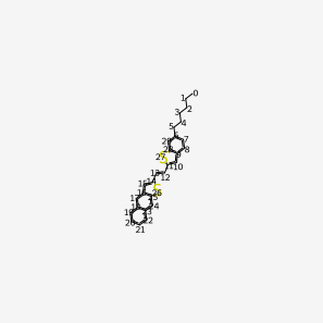 CCCCCCc1ccc2cc(C=Cc3cc4cc5ccccc5cc4s3)sc2c1